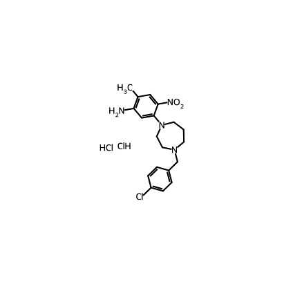 Cc1cc([N+](=O)[O-])c(N2CCCN(Cc3ccc(Cl)cc3)CC2)cc1N.Cl.Cl